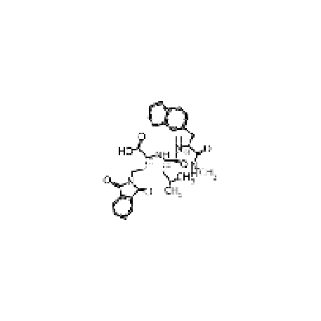 CNC(=O)[C@H](Cc1ccc2ccccc2c1)NC(=O)[C@H](CC(C)C)N[C@H](CCN1C(=O)c2ccccc2C1=O)C(=O)O